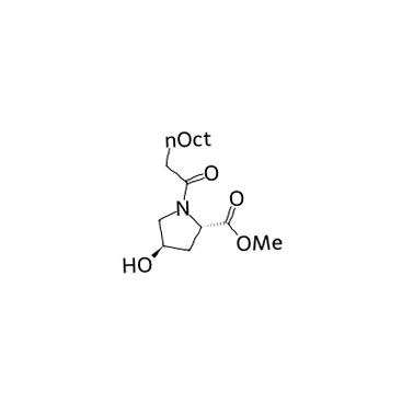 CCCCCCCCCC(=O)N1C[C@H](O)C[C@H]1C(=O)OC